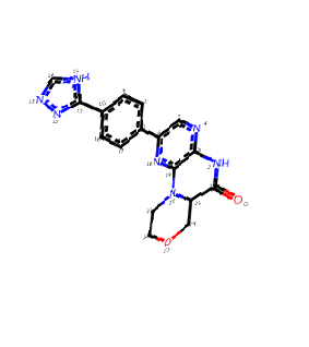 O=C1Nc2ncc(-c3ccc(-c4nnc[nH]4)cc3)nc2N2CCOCC12